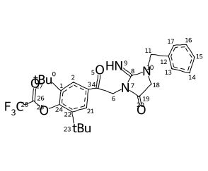 CC(C)(C)c1cc(C(=O)CN2C(=N)N(Cc3ccccc3)CC2=O)cc(C(C)(C)C)c1OC(=O)C(F)(F)F